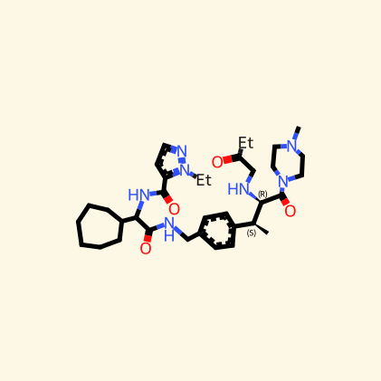 CCC(=O)CN[C@@H](C(=O)N1CCN(C)CC1)[C@@H](C)c1ccc(CNC(=O)C(NC(=O)c2ccnn2CC)C2CCCCCC2)cc1